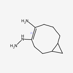 NN/C1=C(\N)CCCC2CC2CC1